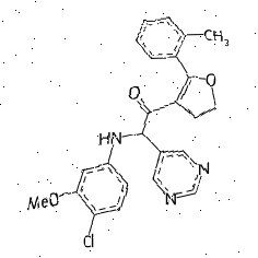 COc1cc(NC(C(=O)C2=C(c3ccccc3C)OCC2)c2cncnc2)ccc1Cl